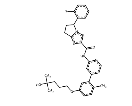 Cc1ccc(OCCCC(C)(C)O)cc1-c1ccnc(NC(=O)c2nc3n(n2)C(c2ccccc2F)CC3)c1